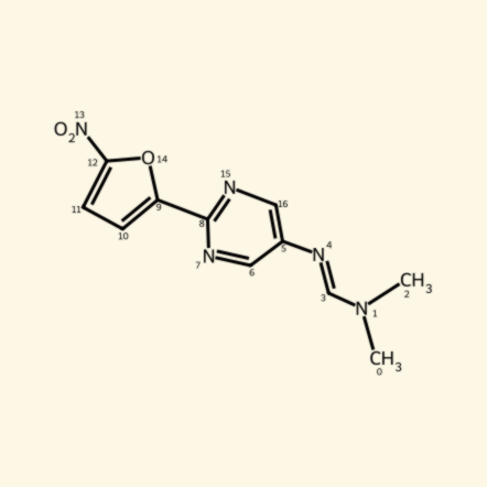 CN(C)/C=N/c1cnc(-c2ccc([N+](=O)[O-])o2)nc1